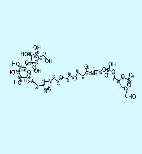 O=COC[C@H](COP(=O)(O)OCCNC(=O)CCOCCOCCn1cc(COC[C@H]2O[C@H](O[C@]3(CO)O[C@H](CO)[C@@H](O)[C@@H]3O)[C@H](O)[C@@H](O)[C@@H]2O)nn1)OC(=O)Cl